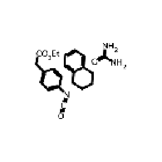 CCOC(=O)Cc1ccc(N=C=O)cc1.NC(N)=O.c1ccc2c(c1)CCCC2